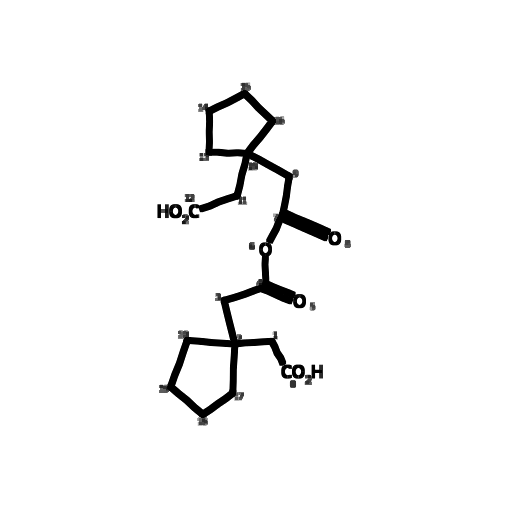 O=C(O)CC1(CC(=O)OC(=O)CC2(CC(=O)O)CCCC2)CCCC1